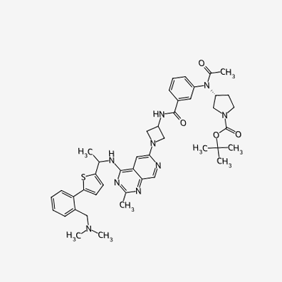 CC(=O)N(c1cccc(C(=O)NC2CN(c3cc4c(NC(C)c5ccc(-c6ccccc6CN(C)C)s5)nc(C)nc4cn3)C2)c1)[C@@H]1CCN(C(=O)OC(C)(C)C)C1